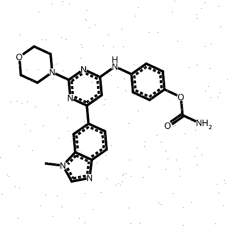 Cn1cnc2ccc(-c3cc(Nc4ccc(OC(N)=O)cc4)nc(N4CCOCC4)n3)cc21